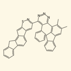 Cc1cc2c(c(-c3nnnc(-c4cc5c6ccc7c(c6cc-5sn4)Cc4ccccc4-7)c3-c3ccccc3)c1C)Cc1ccccc1-2